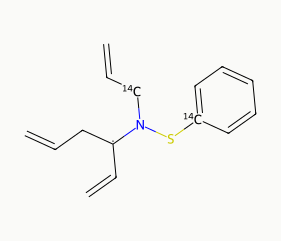 C=CC[C](C=C)N([14CH2]C=C)S[14c]1ccccc1